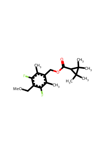 COCc1c(F)c(C)c(COC(=O)C2C(C)(C)C2(C)C)c(C)c1F